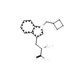 N[C@H](Cc1cn(CC2CCC2)c2ccccc12)C(=O)O